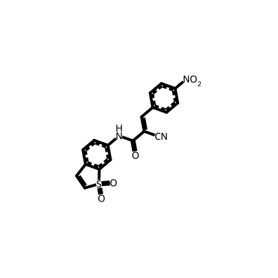 N#CC(=Cc1ccc([N+](=O)[O-])cc1)C(=O)Nc1ccc2c(c1)S(=O)(=O)C=C2